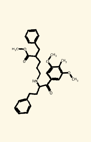 COC(=O)C(CCCNC(CCc1ccccc1)C(=O)c1cc(OC)c(C)c(OC)c1)Cc1ccccc1